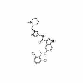 CC(Oc1ccc2[nH]nc(C(=O)Nc3cnn(CC4CCCCN4C)c3)c2c1)c1c(Cl)cncc1Cl